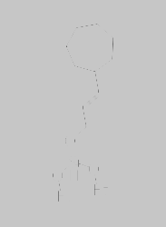 CCO[SiH](OCC)OCC=CC1CCCCCC1